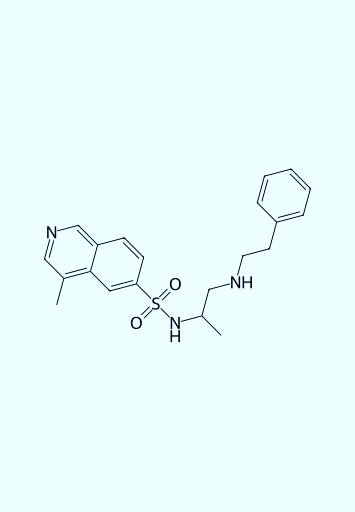 Cc1cncc2ccc(S(=O)(=O)NC(C)CNCCc3ccccc3)cc12